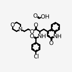 O=C(NC(Cc1cc(=O)[nH]c2ccccc12)C(=O)OCCN1CCOCC1)c1ccc(Cl)cc1.O=CO